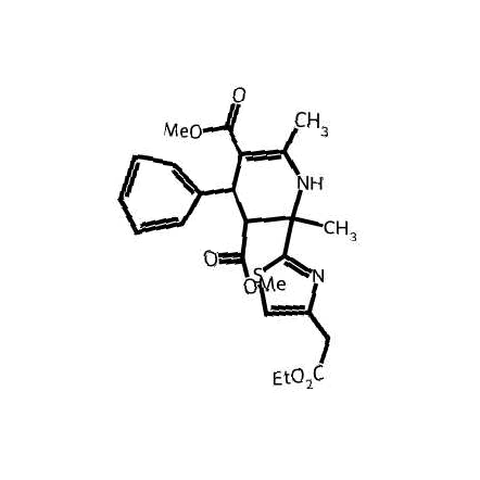 CCOC(=O)Cc1csc(C2(C)NC(C)=C(C(=O)OC)C(c3ccccc3)C2C(=O)OC)n1